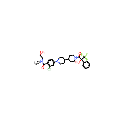 CN(CCO)C(=O)c1ccc(N2CCC(C3CCN(C(=O)C(O)(c4ccccc4)C(F)(F)F)CC3)CC2)cc1Cl